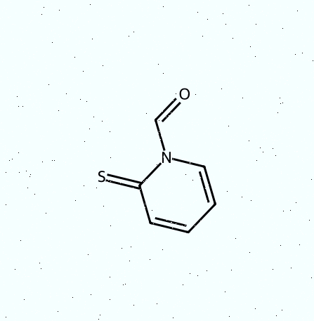 O=Cn1ccccc1=S